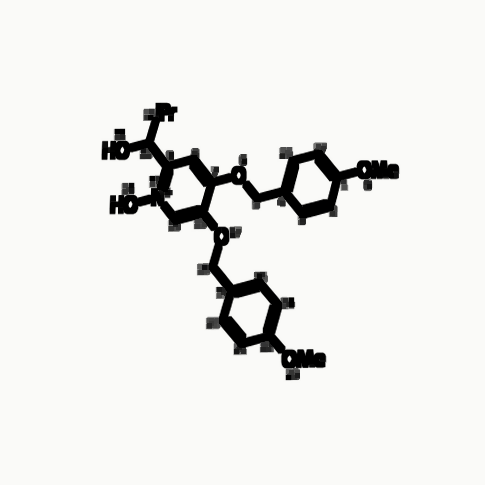 COc1ccc(COc2cc(C(O)C(C)C)[n+](O)cc2OCc2ccc(OC)cc2)cc1